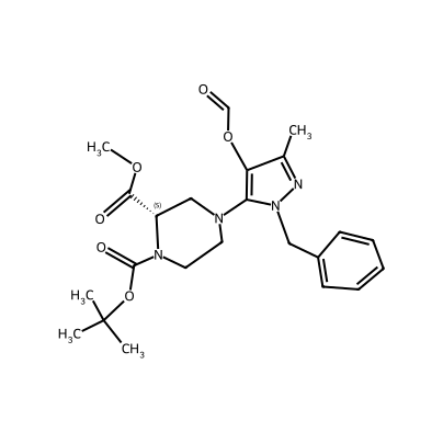 COC(=O)[C@@H]1CN(c2c(OC=O)c(C)nn2Cc2ccccc2)CCN1C(=O)OC(C)(C)C